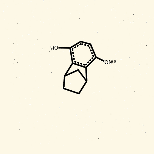 COc1ccc(O)c2c1C1CCC2C1